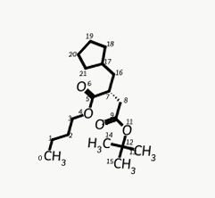 CCCCOC(=O)[C@@H](CC(=O)OC(C)(C)C)CC1CCCC1